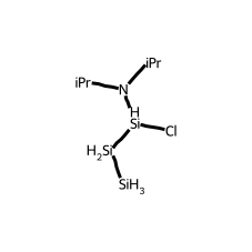 CC(C)N(C(C)C)[SiH](Cl)[SiH2][SiH3]